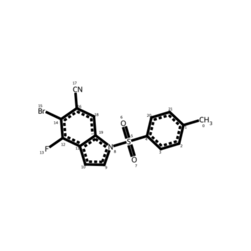 Cc1ccc(S(=O)(=O)n2ccc3c(F)c(Br)c(C#N)cc32)cc1